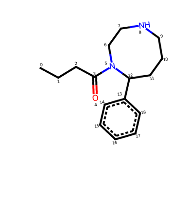 CCCC(=O)N1CCNCCCC1c1ccccc1